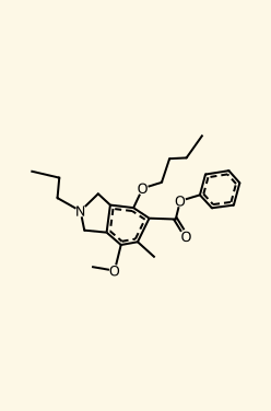 CCCCOc1c2c(c(OC)c(C)c1C(=O)Oc1ccccc1)CN(CCC)C2